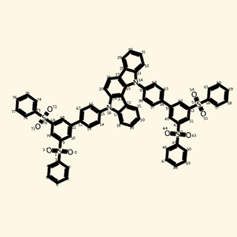 O=S(=O)(c1ccccc1)c1cc(-c2ccc(-n3c4ccccc4c4c3ccc3c5ccccc5n(-c5ccc(-c6cc(S(=O)(=O)c7ccccc7)cc(S(=O)(=O)c7ccccc7)c6)cc5)c34)cc2)cc(S(=O)(=O)c2ccccc2)c1